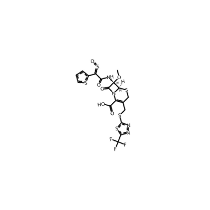 CO[C@@]1(NC(=O)C(=S=O)c2cccs2)C(=O)N2C(C(=O)O)=C(CSc3nnc(C(F)(F)F)s3)CS[C@@H]21